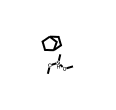 C1CC2CCC1C2.CO[SiH](C)OC